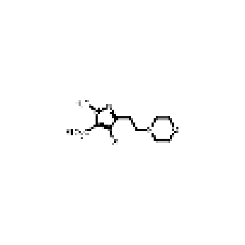 CCOC(=O)c1c(Br)c(CCN2CCOCC2)nn1C